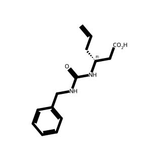 C=CC[C@H](CC(=O)O)NC(=O)NCc1ccccc1